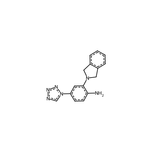 Nc1ccc(-n2cnnn2)cc1N1Cc2ccccc2C1